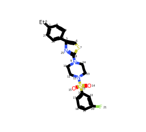 CCc1ccc(-c2csc(N3CCN(S(=O)(=O)c4cccc(F)c4)CC3)n2)cc1